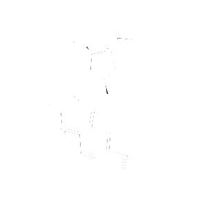 C=Cc1ccc2nc(Cl)nc(O[C@H]3C[C@@H](C=O)N(C(=O)OC(C)(C)C)C3)c2c1